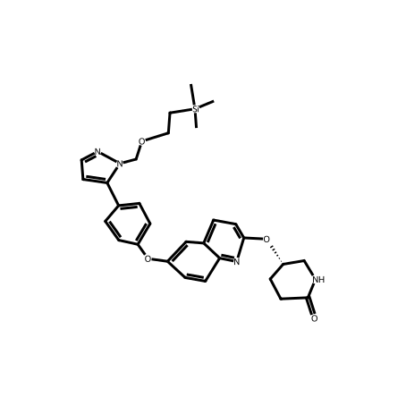 C[Si](C)(C)CCOCn1nccc1-c1ccc(Oc2ccc3nc(O[C@H]4CCC(=O)NC4)ccc3c2)cc1